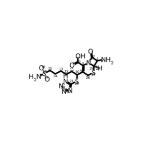 NC1C(=O)N2C(C(=O)O)=C(C(CCCCCS(N)(=O)=O)Sc3nnn[nH]3)CS[C@@H]12